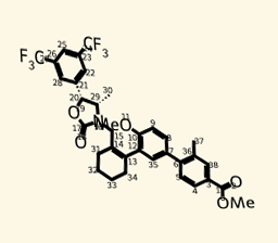 COC(=O)c1ccc(-c2ccc(OC)c(C3=C(CN4C(=O)O[C@H](c5cc(C(F)(F)F)cc(C(F)(F)F)c5)[C@@H]4C)CCCC3)c2)c(C)c1